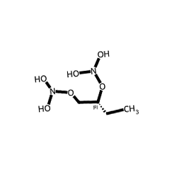 CC[C@H](CON(O)O)ON(O)O